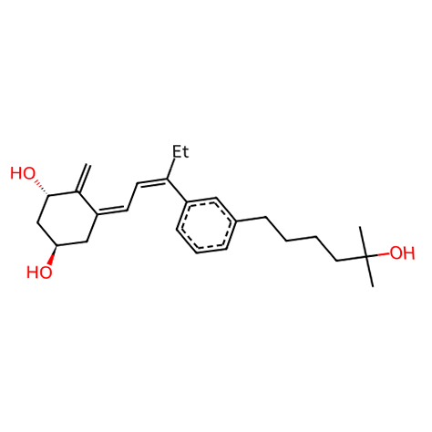 C=C1/C(=C\C=C(\CC)c2cccc(CCCCC(C)(C)O)c2)C[C@@H](O)C[C@@H]1O